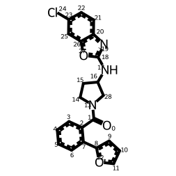 O=C(c1ccccc1-c1ccco1)N1CCC(Nc2nc3ccc(Cl)cc3o2)C1